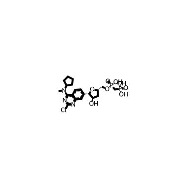 CN(c1nc(Cl)nc2cc([C@@H]3O[C@H](COP(=O)(O)CP(=O)(O)O)C[C@H]3O)ccc12)C1CCCC1